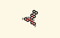 Fc1ccc(-c2nc(-c3ccccc3)nc(-c3ccc(-c4cccc5cccc(-c6ccc(C7=NC(c8ccccc8)=NC(c8ccc(F)cc8)N7)cc6)c45)cc3)n2)cc1